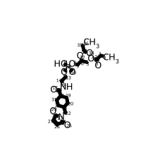 CCC(=O)OCC(COP(=O)(O)OCCNC(=O)C1CCC(CN2C(=O)C=CC2=O)CC1)OC(=O)CC